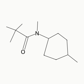 CC1CCC(N(C)C(=O)C(C)(C)C)CC1